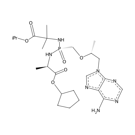 CC(C)OC(=O)C(C)(C)N[P@](=O)(CO[C@H](C)Cn1cnc2c(N)ncnc21)N[C@H](C)C(=O)OC1CCCC1